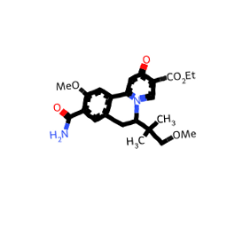 CCOC(=O)c1cn2c(cc1=O)-c1cc(OC)c(C(N)=O)cc1CC2C(C)(C)COC